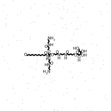 NCCCNC(=O)CCOCC(COCCC(=O)NCCCN)(COCCC(=O)NCCCNC(=O)CCCCO[C@H]1OC(CO)[C@@H](O)C(O)C1O)NC(=O)CCCCCCCCCCC=O